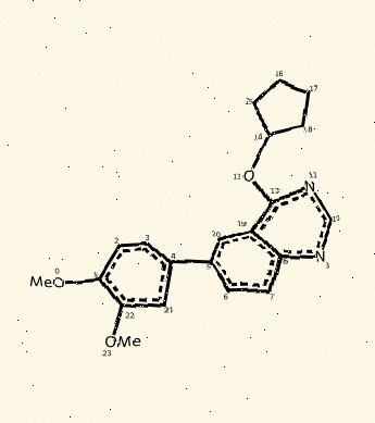 COc1ccc(-c2ccc3ncnc(OC4CCCC4)c3c2)cc1OC